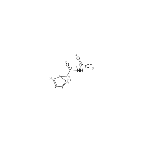 O=C(NC(=O)C(F)(F)F)C1CC2C=CC1C2